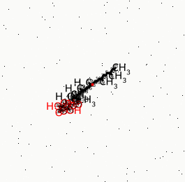 C/C=C/C(C)=C/C=C/C(C)=C/C=C/C=C(C)/C=C/C=C(C)/C=C/C1=C(C)C(=O)C(OC(=O)C(O)C2OC(=O)C(O)=C2O)CC1(C)C